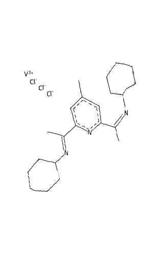 CC(=NC1CCCCC1)c1cc(C)cc(C(C)=NC2CCCCC2)n1.[Cl-].[Cl-].[Cl-].[V+3]